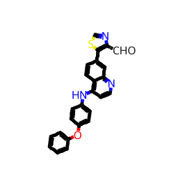 O=Cc1ncsc1-c1ccc2c(Nc3ccc(Oc4ccccc4)cc3)ccnc2c1